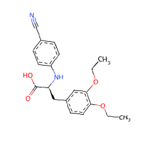 CCOc1ccc(C[C@H](Nc2ccc(C#N)cc2)C(=O)O)cc1OCC